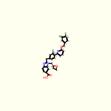 O=C(O)c1ccc2nc(Cc3ccc(-c4cccc(OCc5ccc(F)c(F)c5)n4)c(F)c3)n(C[C@@H]3CCO3)c2c1